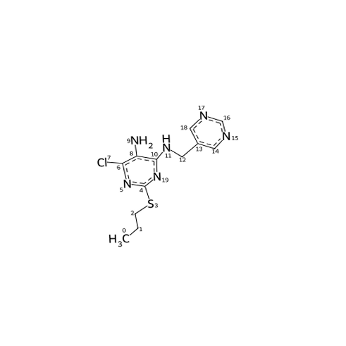 CCCSc1nc(Cl)c(N)c(NCc2cncnc2)n1